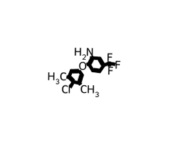 Cc1cc(Oc2ccc(C(F)(F)F)cc2N)cc(C)c1Cl